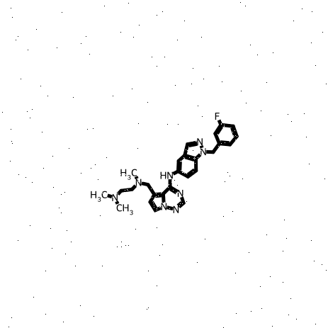 CN(C)CCN(C)Cc1ccn2ncnc(Nc3ccc4c(cnn4Cc4cccc(F)c4)c3)c12